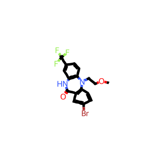 COCCN1c2ccc(C(F)(F)F)cc2NC(=O)c2cc(Br)ccc21